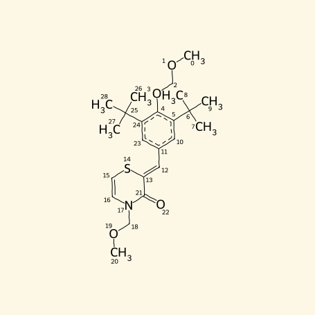 COCOc1c(C(C)(C)C)cc(C=C2SC=CN(COC)C2=O)cc1C(C)(C)C